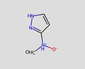 O=C[NH+]([O-])c1cc[nH]n1